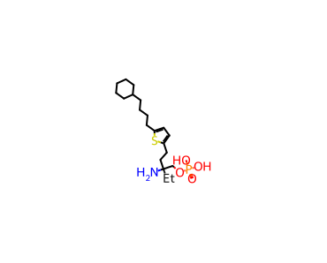 CCC(N)(CCc1ccc(CCCCC2CCCCC2)s1)COP(=O)(O)O